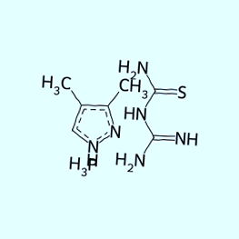 Cc1c[nH]nc1C.N=C(N)NC(N)=S.P